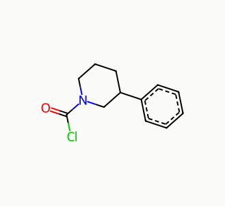 O=C(Cl)N1CCCC(c2ccccc2)C1